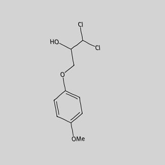 COc1ccc(OCC(O)C(Cl)Cl)cc1